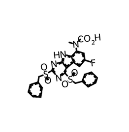 CN(C(=O)O)c1cc(F)cc2c1[nH]c1nc(S(=O)(=O)Cc3ccccc3)nc(S(=O)(=O)Cc3ccccc3)c12